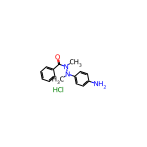 CN(C(=O)c1ccccc1)N(C)c1ccc(N)cc1.Cl